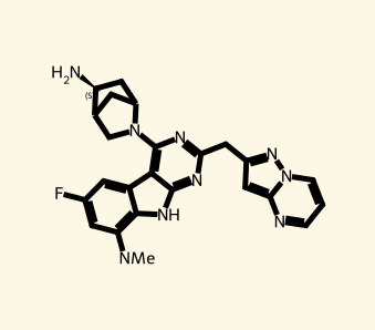 CNc1cc(F)cc2c1[nH]c1nc(Cc3cc4ncccn4n3)nc(N3CC4CC3C[C@@H]4N)c12